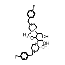 C[C@@H]1CN(Cc2ccc(F)cc2)CCN1C(CO)C(=O)C(CO)N1CCN(Cc2ccc(F)cc2)C[C@H]1C